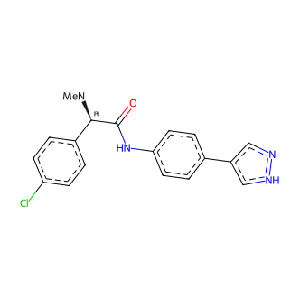 CN[C@@H](C(=O)Nc1ccc(-c2cn[nH]c2)cc1)c1ccc(Cl)cc1